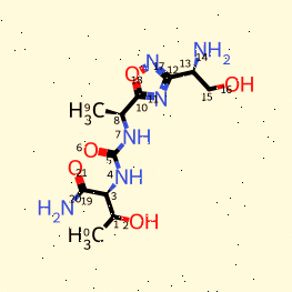 CC(O)[C@H](NC(=O)N[C@@H](C)c1nc([C@@H](N)CO)no1)C(N)=O